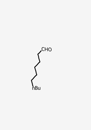 [CH2]CCCCCCCCC=O